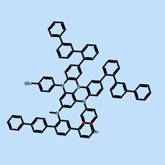 CN(c1cc2c3c(c1)N(c1ccc(C(C)(C)C)cc1)c1ccc(-c4ccccc4-c4cccc(-c5ccccc5)c4)cc1B3c1cc(-c3ccccc3-c3cccc(-c4ccccc4)c3)ccc1N2c1ccc(C(C)(C)C)cc1)c1cc(-c2ccccc2)ccc1-c1ccc(-c2ccccc2)cc1